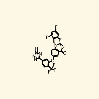 O=c1ncn(Cc2c(F)cc(F)cc2F)c2ccc(Oc3cc(-c4nn[nH]n4)ccc3C(F)(F)F)cc12